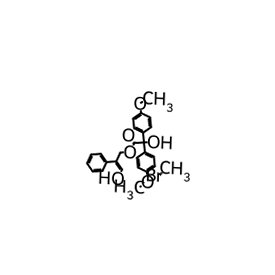 CBr.COc1ccc(C(O)(C(=O)OCC(=CO)c2ccccc2)c2ccc(OC)cc2)cc1